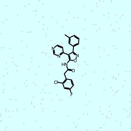 Cc1cccc(-c2noc(NC(=O)Cc3ccc(F)cc3Cl)c2-c2ccncn2)c1